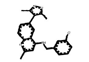 Cc1cc(NCc2cccc(Cl)c2)c2cc(-c3c(C)noc3C)ccc2n1